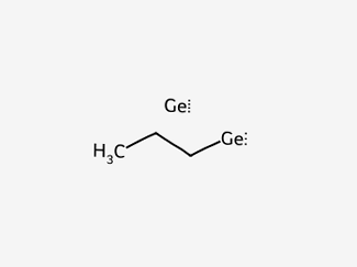 CC[CH2][Ge].[Ge]